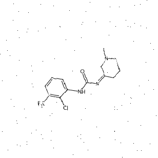 CN1CCCC(=NC(=O)Nc2cccc(C(F)(F)F)c2Cl)C1